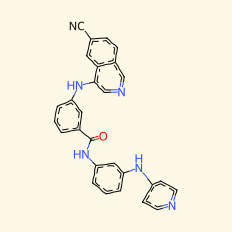 N#Cc1ccc2cncc(Nc3cccc(C(=O)Nc4cccc(Nc5ccncc5)c4)c3)c2c1